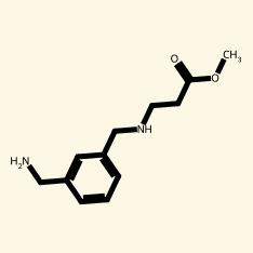 COC(=O)CCNCc1cccc(CN)c1